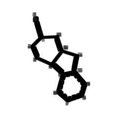 O=C1C=CC2=c3c[c]ccc3=CC2=C1